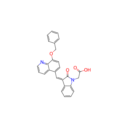 O=C(O)CN1C(=O)C(=Cc2ccc(OCc3ccccc3)c3ncccc23)c2ccccc21